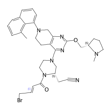 Cc1cccc2cccc(N3CCc4c(nc(OC[C@@H]5CCCN5C)nc4N4CCN(C(=O)/C=C/CBr)[C@@H](CC#N)C4)C3)c12